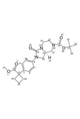 COC(=O)C1(c2ccc(N3C[C@@H]4CN(C(=O)OC(C)(C)C)CCN4C3=O)cc2)CCC1